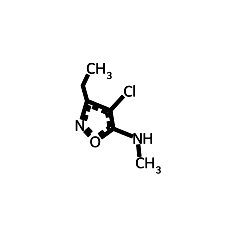 CCc1noc(NC)c1Cl